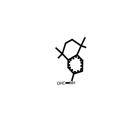 CC1(C)CCC(C)(C)c2cc(NC=O)ccc21